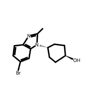 Cc1nc2ccc(Br)cc2n1[C@H]1CC[C@H](O)CC1